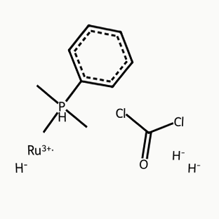 C[PH](C)(C)c1ccccc1.O=C(Cl)Cl.[H-].[H-].[H-].[Ru+3]